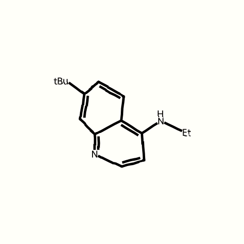 CCNc1ccnc2cc(C(C)(C)C)ccc12